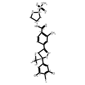 Cc1cc(C2=NO[C@@](c3cc(Cl)c(F)c(Cl)c3)(C(F)(F)F)C2)ccc1C(=O)N[C@@H]1CON(S(C)(=O)=O)C1